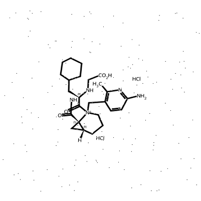 Cc1nc(N)ccc1C[N+]1(C(=O)[C@@H](CC2CCCCC2)NCC(=O)O)CCC[C@@H]2C[C@@]21C(N)=O.Cl.Cl